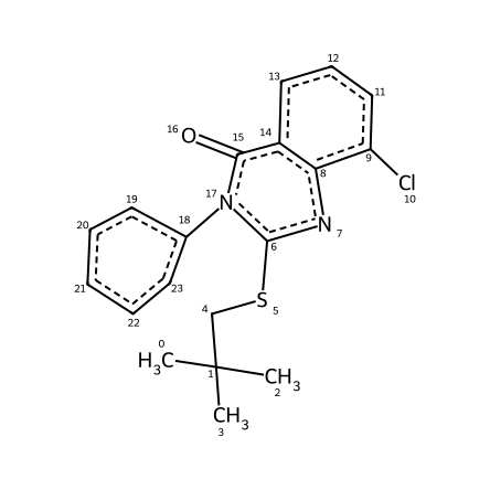 CC(C)(C)CSc1nc2c(Cl)cccc2c(=O)n1-c1ccccc1